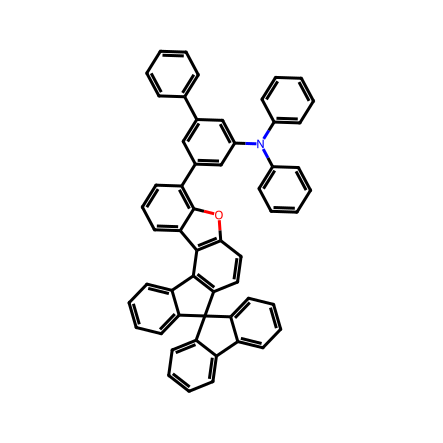 c1ccc(-c2cc(-c3cccc4c3oc3ccc5c(c34)-c3ccccc3C53c4ccccc4-c4ccccc43)cc(N(c3ccccc3)c3ccccc3)c2)cc1